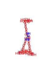 CC(=O)NC(CCC(=O)NCCOCCOCCOCCOCCOC1OC(COP(=O)(O)O)C(O)C(O)C1O)(CCC(=O)NCCOCCOCCOCCOCCOC1OC(COP(=O)(O)O)C(O)C(O)C1O)CCC(=O)NCCOCCOCCOCCOCCOC1OC(COP(=O)(O)O)C(O)C(O)C1O